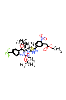 CCOC(=O)Cc1cc(-c2nnc(NC[C@@H](NC(=O)OC(C)(C)C)[C@@H](O[Si](C)(C)C(C)(C)C)c3ccc(C(F)(F)F)cc3)s2)ccc1[N+](=O)[O-]